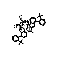 CC(C)C1=Cc2c(-c3ccccc3C(C)(C)C)cccc2[CH]1[Hf]([Cl])([Cl])([B](NC=O)NC=O)[CH]1C(C(C)C)=Cc2c(-c3ccccc3C(C)(C)C)cccc21